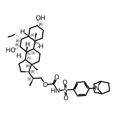 CC[C@H]1[C@@H](O)[C@@H]2[C@H](CC[C@]3(C)[C@@H]([C@H](C)COC(=O)NS(=O)(=O)c4ccc(N5C6CCC5CC6)cc4)CC[C@@H]23)[C@@]2(C)CC[C@@H](O)C[C@@H]12